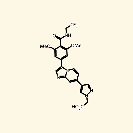 COc1cc(-c2cnc3cc(-c4cnn(CC(=O)O)c4)ccn23)cc(OC)c1C(=O)NCC(F)(F)F